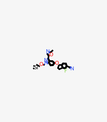 Cc1ncc(-c2nn(COCC[Si](C)(C)C)c3ccc(OC4CCc5c4ccc(C#N)c5F)cc23)o1